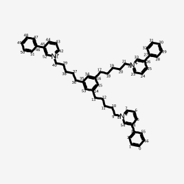 c1ccc(-c2ccc[n+](CCCCCc3cc(CCCCC[n+]4cccc(-c5ccccc5)c4)cc(CCCCC[n+]4cccc(-c5ccccc5)c4)c3)c2)cc1